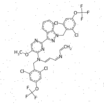 C=C/N=C\C=C\N(Cc1c(Cl)cc(OC(F)(F)F)cc1Cl)c1nc(-c2nn(Cc3c(Cl)cc(OC(F)(F)F)cc3Cl)c3ccccc23)ncc1OC